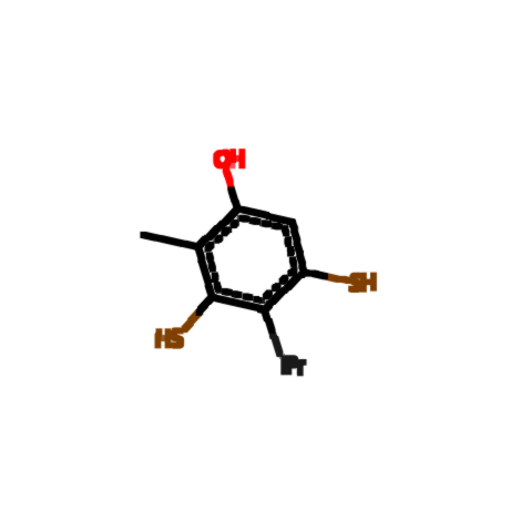 Cc1c(O)cc(S)c(C(C)C)c1S